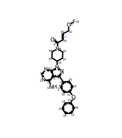 Nc1ncnc2c1c(-c1ccc(Oc3ccccc3)cc1)nn2C1CCN(C(=O)/C=C/COF)CC1